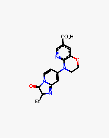 CCC1N=C2C=C(N3CCOc4cc(C(=O)O)cnc43)C=CN2C1=O